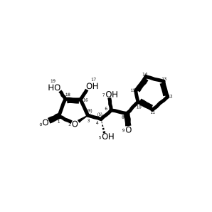 O=C1O[C@H]([C@@H](O)C(O)C(=O)c2ccccc2)C(O)=C1O